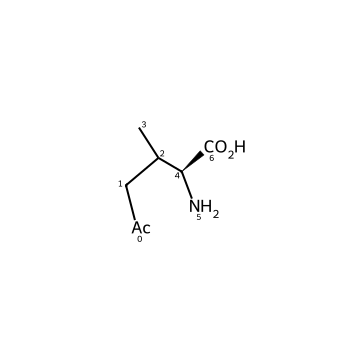 CC(=O)CC(C)[C@H](N)C(=O)O